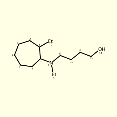 CCC1CCCCCC1N(CC)CCCCO